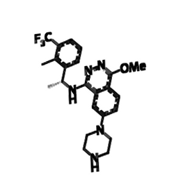 COc1nnc(N[C@H](C)c2cccc(C(F)(F)F)c2C)c2cc(N3CCNCC3)ccc12